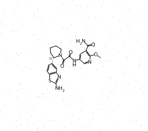 COc1ncc(NC(=O)C(=O)N2CCCC[C@H]2c2ccc3sc(N)nc3c2)cc1C(N)=O